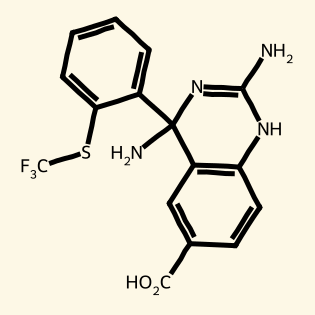 NC1=NC(N)(c2ccccc2SC(F)(F)F)c2cc(C(=O)O)ccc2N1